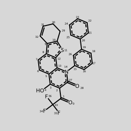 O=C(c1c(O)c2ccc3c4c(sc3c2n(-c2cccc(-c3ccccc3)c2)c1=O)CCC=C4)C(F)(F)F